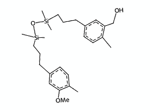 COc1cc(CCC[Si](C)(C)O[Si](C)(C)CCCc2ccc(C)c(CO)c2)ccc1C